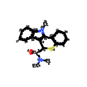 CCN(CC)[11C](=O)C1Sc2ccccc2-c2c1c1ccccc1n2CC